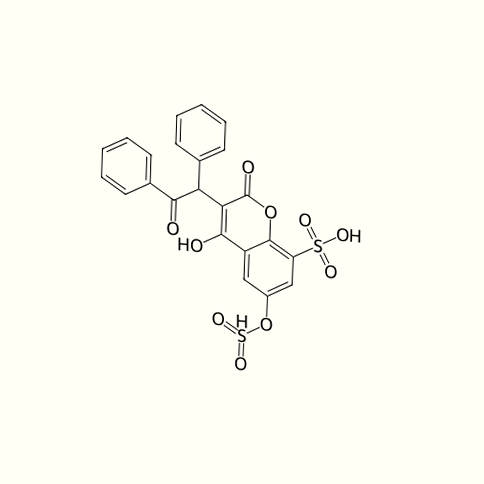 O=C(c1ccccc1)C(c1ccccc1)c1c(O)c2cc(O[SH](=O)=O)cc(S(=O)(=O)O)c2oc1=O